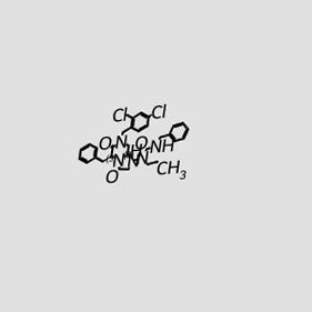 CCCN(C(=O)NCc1ccccc1)N1CC(=O)N2[C@@H](Cc3ccccc3)C(=O)N(Cc3ccc(Cl)cc3Cl)C[C@@H]21